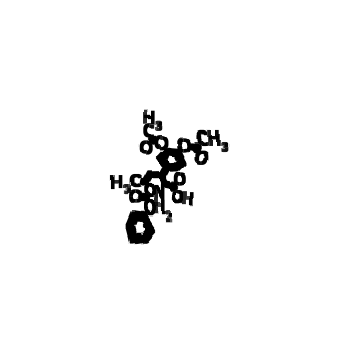 CC(=O)Oc1ccc(C(CC(C)OC(=O)Oc2ccccc2)[C@H](N)C(=O)O)cc1OC(C)=O